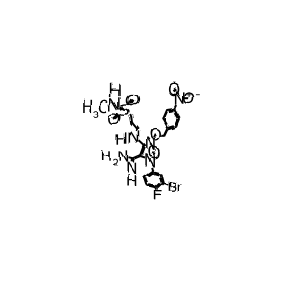 CNS(=O)(=O)CCCNC1=C(C(=N)N)N(c2ccc(F)c(Br)c2)ON1OCc1ccc([N+](=O)[O-])cc1